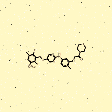 COc1cc(C)c(F)c(COc2cnc(Nc3ccc(C)c(OCC(=O)N4CCOCC4)c3)nc2)c1F